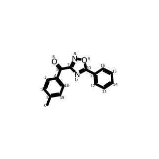 Cc1ccc(C(=O)c2noc(-c3ccccc3)n2)cc1